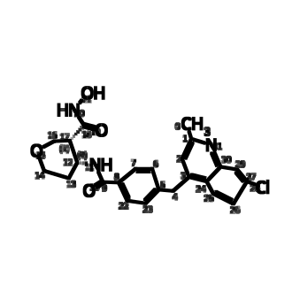 Cc1cc(Cc2ccc(C(=O)N[C@@H]3CCOC[C@@H]3C(=O)NO)cc2)c2ccc(Cl)cc2n1